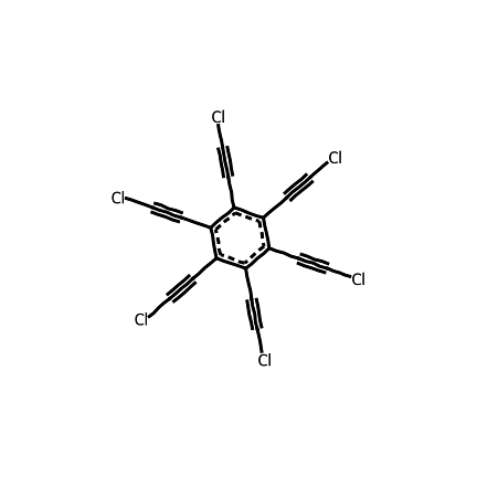 ClC#Cc1c(C#CCl)c(C#CCl)c(C#CCl)c(C#CCl)c1C#CCl